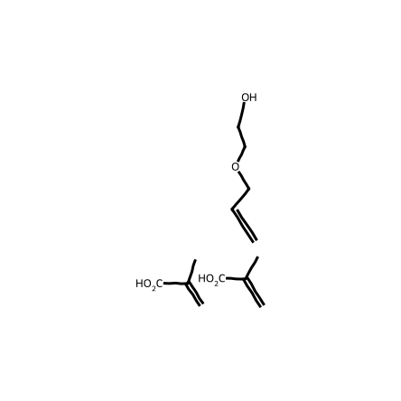 C=C(C)C(=O)O.C=C(C)C(=O)O.C=CCOCCO